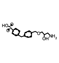 NCC(O)COCc1ccc(Cc2ccc(S(=O)(=O)O)cc2)cc1